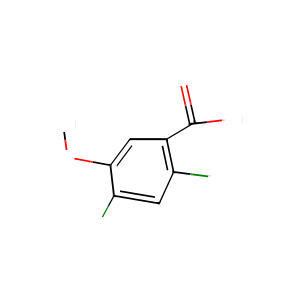 COc1cc(C(=O)O)c(F)cc1F